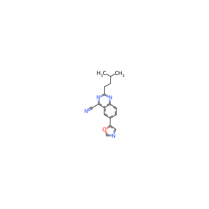 CC(C)CCc1nc(C#N)c2cc(-c3cnco3)ccc2n1